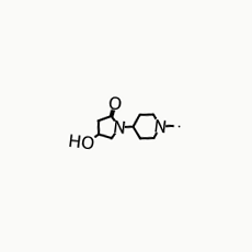 [CH2]N1CCC(N2CC(O)CC2=O)CC1